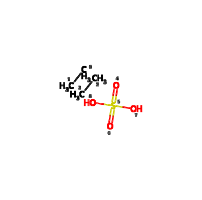 CC.CC.O=S(=O)(O)O